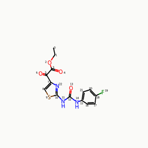 CCOC(=O)C(=O)c1csc(NC(=O)Nc2ccc(F)cc2)n1